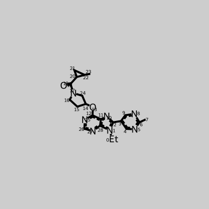 CCn1c(-c2cnc(C)nc2)nc2c(OC3CCN(C(=O)C4CC4C)C3)ncnc21